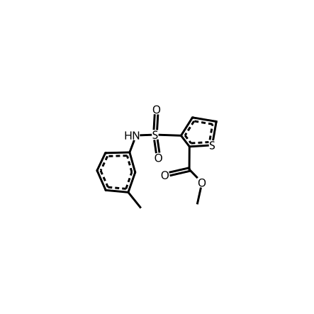 COC(=O)c1sccc1S(=O)(=O)Nc1cccc(C)c1